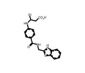 CCC(CC(=O)O)Nc1ccc(C(=O)NCc2nc3ccccc3[nH]2)cc1